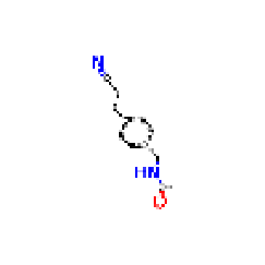 N#CCCc1ccc(CN[C]=O)cc1